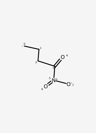 [CH2]CCC(=O)[N+](=O)[O-]